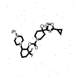 CC(C)N1CCN(C2CCCC(F)(F)C2OC(=O)N2CCC(C)(c3noc(C4CC4)n3)CC2)CC1